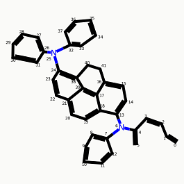 C=C/C=C\C(=C)N(c1ccccc1)c1ccc2c3c1ccc1ccc(N(c4ccccc4)c4ccccc4)c(c13)CC2